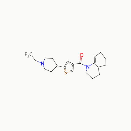 O=C(c1csc(C2CCN(CC(F)(F)F)CC2)c1)N1CCCC2CCCC=C21